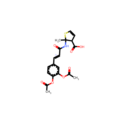 CC(=O)Oc1ccc(/C=C/C(=O)NC2(C)SC=CC2C(=O)O)cc1OC(C)=O